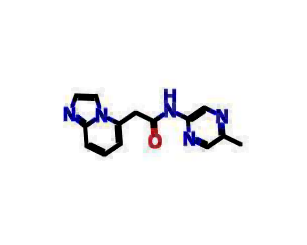 Cc1cnc(NC(=O)Cc2cccc3nccn23)cn1